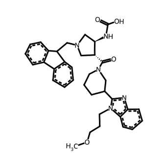 COCCCn1c(C2CCCN(C(=O)[C@@H]3CN(CC4c5ccccc5-c5ccccc54)C[C@H]3NC(=O)O)C2)nc2ccccc21